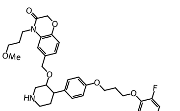 COCCCN1C(=O)COc2ccc(COC3CNCCC3c3ccc(OCCCOc4c(F)cccc4F)cc3)cc21